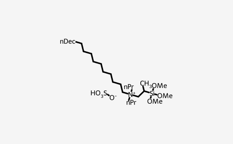 CCCCCCCCCCCCCCCCCCCC[N+](CCC)(CCC)CC(C)[Si](OC)(OC)OC.O=S(=O)([O-])O